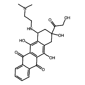 CN(C)CCNC1CC(O)(C(=O)CO)Cc2c(O)c3c(c(O)c21)C(=O)c1ccccc1C3=O